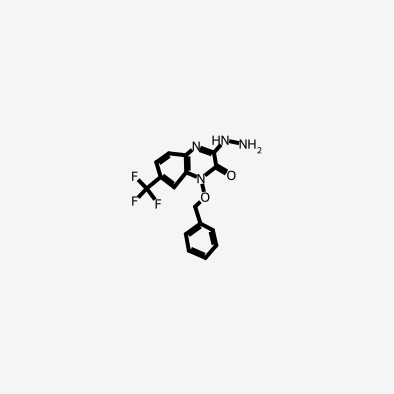 NNc1nc2ccc(C(F)(F)F)cc2n(OCc2ccccc2)c1=O